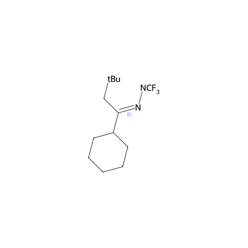 CC(C)(C)C/C(=N\NC(F)(F)F)C1CCCCC1